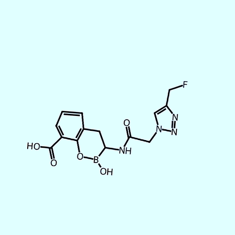 O=C(Cn1cc(CF)nn1)NC1Cc2cccc(C(=O)O)c2OB1O